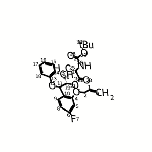 C=CCOc1cc(F)ccc1[C@@H](Oc1ccccc1)[C@H](C)OC(=O)[C@H](C)NC(=O)OC(C)(C)C